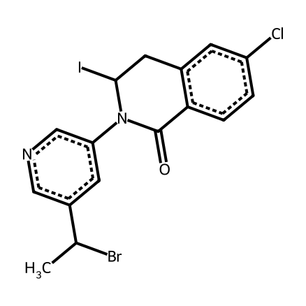 CC(Br)c1cncc(N2C(=O)c3ccc(Cl)cc3CC2I)c1